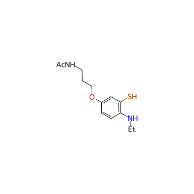 CCNc1ccc(OCCCNC(C)=O)cc1S